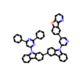 c1ccc(-c2cc(-n3c4ccccc4c4ccc(-c5ccc6c(c5)c5ccccc5n6-c5cncc(-c6ccc7oc8cccnc8c7c6)c5)cc43)nc(-c3ccccc3)n2)cc1